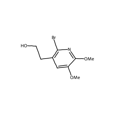 COc1cc(CCO)c(Br)nc1OC